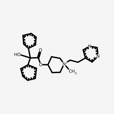 C[N+]1(CCc2cncnc2)CCC(OC(=O)C(O)(c2ccccc2)c2ccccc2)CC1